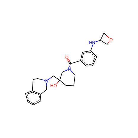 O=C(c1cccc(NC2COC2)c1)N1CCCC(O)(CN2CCc3ccccc3C2)C1